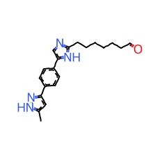 Cc1cc(-c2ccc(-c3cnc(CCCCCCC=O)[nH]3)cc2)n[nH]1